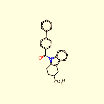 O=C(O)C1CCc2c(c3ccccc3n2C(=O)c2ccc(-c3ccccc3)cc2)C1